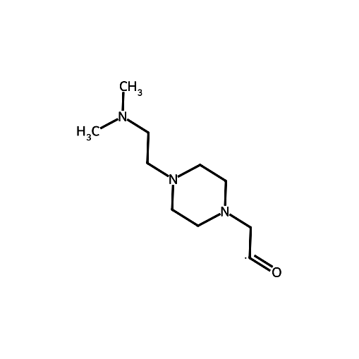 CN(C)CCN1CCN(C[C]=O)CC1